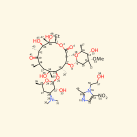 CC[C@H]1OC(=O)[C@H](C)[C@@H](O[C@H]2C[C@@](C)(OC)[C@@H](O)[C@H](C)O2)[C@H](C)[C@@H](O[C@@H]2O[C@H](C)C[C@H](N(C)C)[C@H]2O)[C@](C)(O)C[C@@H](C)C(=O)[C@H](C)[C@@H](O)[C@]1(C)O.Cc1ncc([N+](=O)[O-])n1CCO